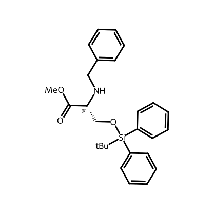 COC(=O)[C@@H](CO[Si](c1ccccc1)(c1ccccc1)C(C)(C)C)NCc1ccccc1